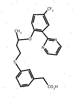 CC(CCSc1cccc(CC(=O)O)c1)Oc1ccc(C(F)(F)F)cc1-c1ncccn1